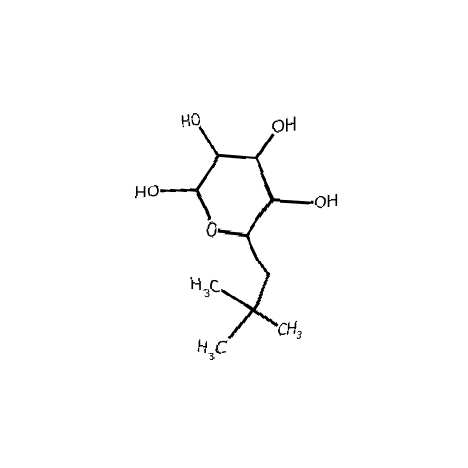 CC(C)(C)CC1OC(O)C(O)C(O)C1O